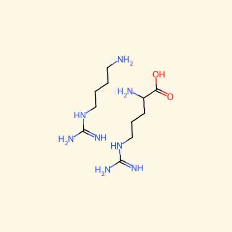 N=C(N)NCCCC(N)C(=O)O.N=C(N)NCCCCN